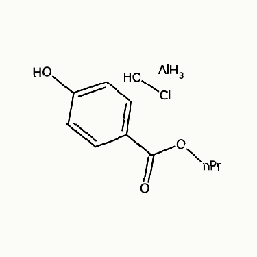 CCCOC(=O)c1ccc(O)cc1.OCl.[AlH3]